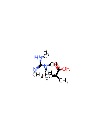 C=C(C)C(=O)O.CN=C(NC)N(C)C